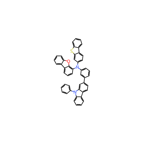 c1ccc(-n2c3ccccc3c3ccc(-c4cccc(N(c5ccc6c(c5)sc5ccccc56)c5cccc6c5oc5ccccc56)c4)cc32)cc1